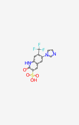 O=c1[nH]c2cc(C(F)(F)F)c(-n3ccnc3)cc2cc1S(=O)(=O)O